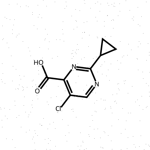 O=C(O)c1nc(C2CC2)ncc1Cl